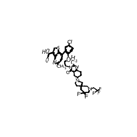 Cc1cc(-c2cc(Cl)ccc2OCCn2c(C)nc3c(c2=O)C[C@@H](N2CCC4(CN(CC(F)(F)F)CC(F)(F)C4)C2)CC3)c2scc(C(=O)O)c2n1